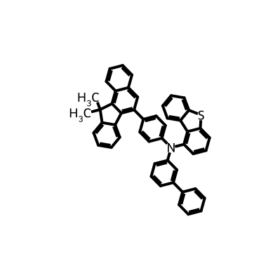 CC1(C)c2ccccc2-c2c(-c3ccc(N(c4cccc(-c5ccccc5)c4)c4cccc5sc6ccccc6c45)cc3)cc3ccccc3c21